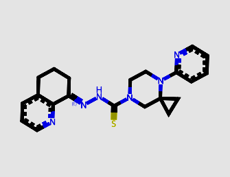 S=C(N/N=C1\CCCc2cccnc21)N1CCN(c2ccccn2)C2(CC2)C1